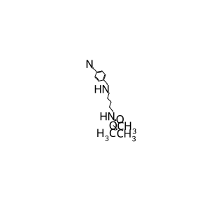 CC(C)(C)OC(=O)NCCCCCNCc1ccc(C#N)cc1